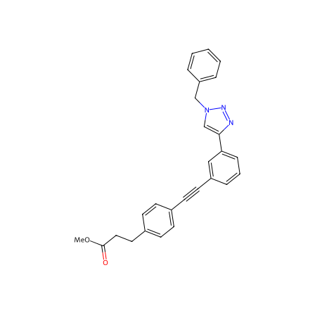 COC(=O)CCc1ccc(C#Cc2cccc(-c3cn(Cc4ccccc4)nn3)c2)cc1